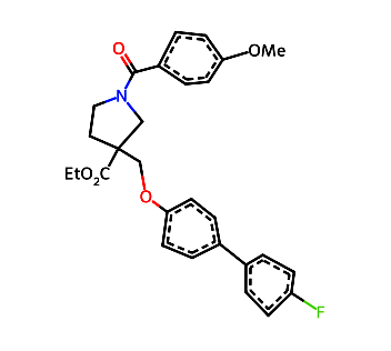 CCOC(=O)C1(COc2ccc(-c3ccc(F)cc3)cc2)CCN(C(=O)c2ccc(OC)cc2)C1